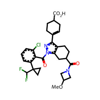 COC1CN(C(=O)C2CCc3c(C4=CCC(C(=O)O)CC4)nn(C(=O)c4c(Cl)cccc4C4(C(F)F)CC4)c3C2)C1